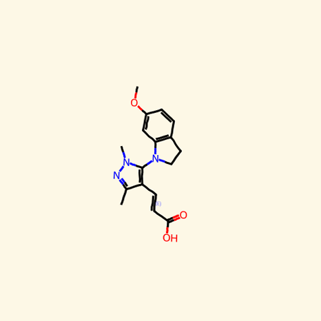 COc1ccc2c(c1)N(c1c(/C=C/C(=O)O)c(C)nn1C)CC2